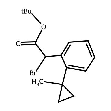 CC(C)(C)OC(=O)C(Br)c1ccccc1C1(C)CC1